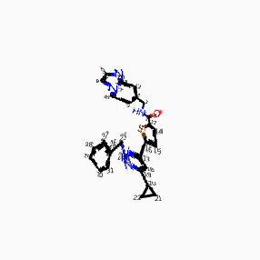 O=C(NCc1ccn2ccnc2c1)c1ccc(-c2cc(C3CC3)nn2Cc2ccccc2)s1